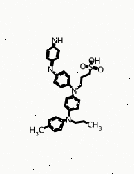 CCCN(c1ccc(C)cc1)c1ccc(N(CCCS(=O)(=O)O)c2ccc(N=C3C=CC(=N)C=C3)cc2)cc1